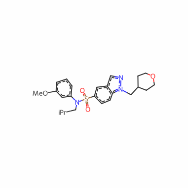 COc1cccc(N(CC(C)C)S(=O)(=O)c2ccc3c(cnn3CC3CCOCC3)c2)c1